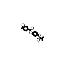 C=C(C)C(=O)Oc1ccc(OC(=O)C2CCC3(C)OC3C2)cc1